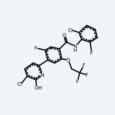 O=C(Nc1c(F)cccc1Cl)c1cc(F)c(-c2ccc(Cl)c(O)n2)cc1OCC(F)(F)F